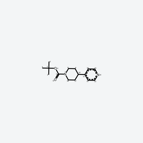 CC(C)(C)OC(=O)N1CCC(c2ccncc2)CC1